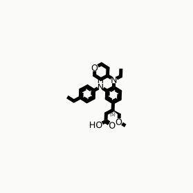 CCc1ccc(Nc2cc([C@@H](COC)CC(=O)O)ccc2N(CC)C2CCOCC2)cc1